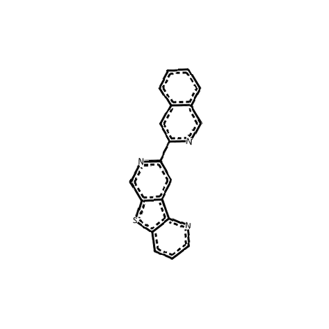 c1ccc2cc(-c3cc4c(cn3)sc3cccnc34)ncc2c1